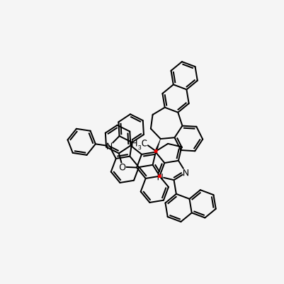 CC1C/C=C(c2c([C@H]3CCc4cc5ccccc5cc4-c4ccccc43)c3c4ccccc4oc3c3ccccc23)/N=C(c2cccc3ccccc23)\N=C/1C1CC=Cc2c1c1ccccc1n2-c1ccccc1